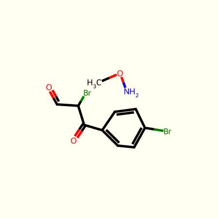 CON.O=CC(Br)C(=O)c1ccc(Br)cc1